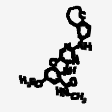 CNC(=O)c1cc(OC)ccc1Nc1nc(Nc2ccc3c(c2)CCCCC3)ncc1Cl